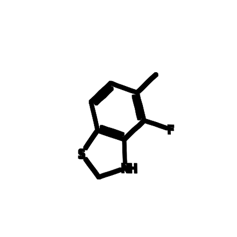 Cc1ccc2c(c1F)NCS2